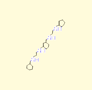 C1CCC(CNCCCNCC2CCCC(CNCCCNCC3CCCCC3)C2)CC1